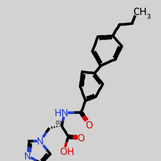 CCCc1ccc(-c2ccc(C(=O)N[C@@H](Cn3ccnc3)C(=O)O)cc2)cc1